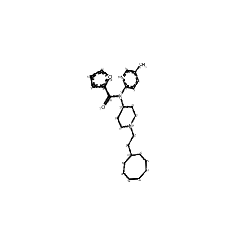 Cc1ccc(N(C(=O)c2ccco2)C2CCN(CCC3CCCCCCC3)CC2)nc1